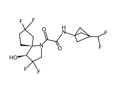 O=C(NC12CC(C(F)F)(C1)C2)C(=O)N1CC(F)(F)[C@@H](O)[C@@]12CCC(F)(F)C2